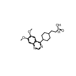 COc1cc2ncnc(C3CCC(CC[PH](=O)O)CC3)c2cc1OC